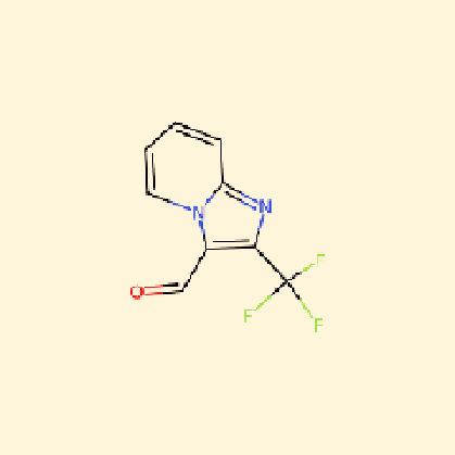 O=Cc1c(C(F)(F)F)nc2ccccn12